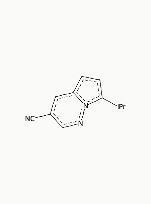 CC(C)c1ccc2cc(C#N)cnn12